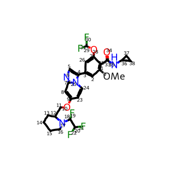 COc1cc(-c2cnc3cc(OCC4CCCCN4C(F)C(F)F)ccn23)cc(OC(F)F)c1C(=O)NC1CC1